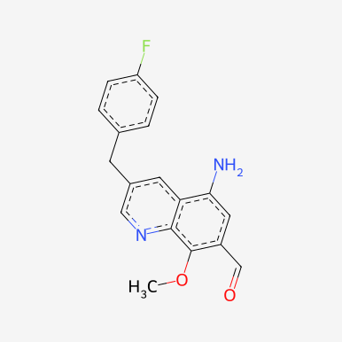 COc1c(C=O)cc(N)c2cc(Cc3ccc(F)cc3)cnc12